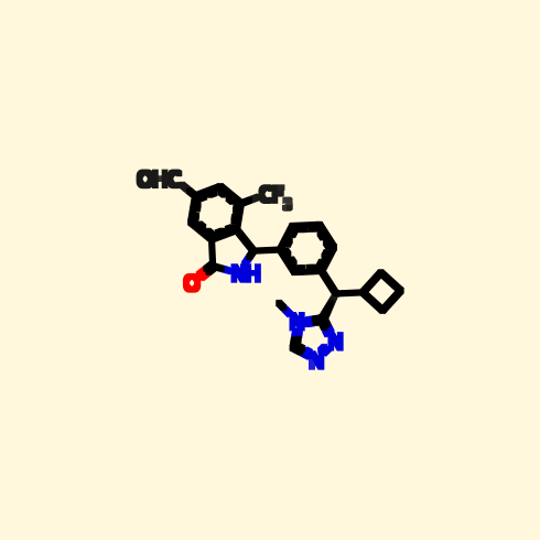 Cn1cnnc1[C@@H](c1cccc(C2NC(=O)c3cc(C=O)cc(C(F)(F)F)c32)c1)C1CCC1